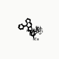 CCCCC1=C[CH]([Zr-6]([CH3])([CH3])([CH3])([CH3])(=[SiH2])(=[SiH2])[CH]2C(CCCC)=Cc3c2cc2c(c3-c3ccccc3)CCC2)C=C1